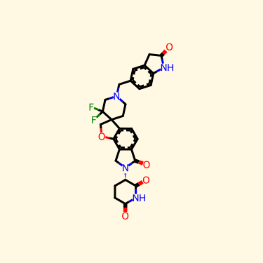 O=C1CC[C@H](N2Cc3c(ccc4c3OCC43CCN(Cc4ccc5c(c4)CC(=O)N5)CC3(F)F)C2=O)C(=O)N1